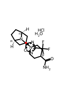 Cl.NC(=O)C1CCN(C2C[C@H]3CC[C@@H](C2)N3c2nc(C(F)(F)F)no2)CC1.O